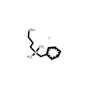 CCCCCCCCCCC[P+](C)(C)Cc1ccccc1.[I-]